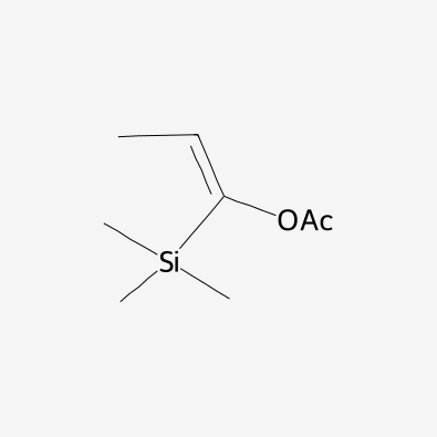 CC=C(OC(C)=O)[Si](C)(C)C